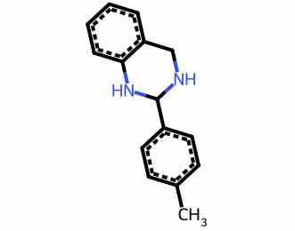 Cc1ccc(C2NCc3ccccc3N2)cc1